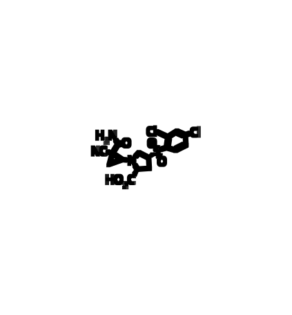 N#CC1(C(N)=O)CC1N1C[C@H](S(=O)(=O)c2ccc(Cl)cc2Cl)C[C@H]1C(=O)O